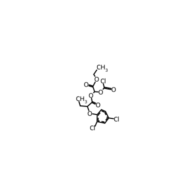 CCOC(=O)C(OC(=O)Cl)OC(=O)C(CC)Oc1ccc(Cl)cc1Cl